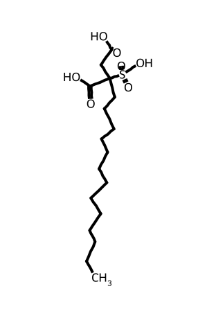 CCCCCCCCCCCCCC(CC(=O)O)(C(=O)O)S(=O)(=O)O